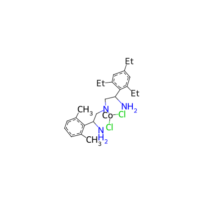 CCc1cc(CC)c(C(N)C[N](CC(N)c2c(C)cccc2C)[Co]([Cl])[Cl])c(CC)c1